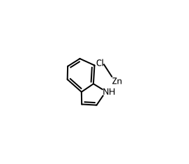 [Cl][Zn].c1ccc2[nH]ccc2c1